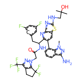 Cn1nc(N)c2cccc(-c3cc4sc(NCC(C)(C)O)nc4nc3C(Cc3cc(F)cc(F)c3)NC(=O)Cn3nc(C(F)(F)F)c4c3C(F)(F)CC4)c21